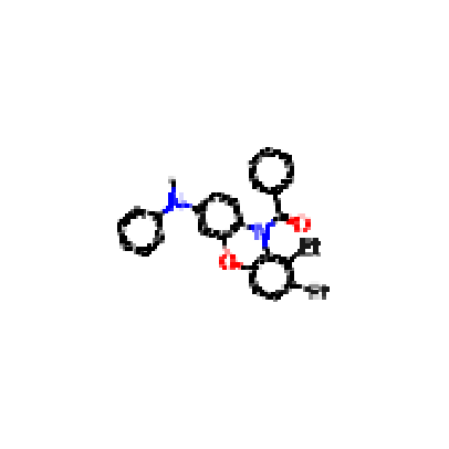 CCc1ccc2c(c1CC)N(C(=O)c1ccccc1)c1ccc(N(C)c3ccccc3)cc1O2